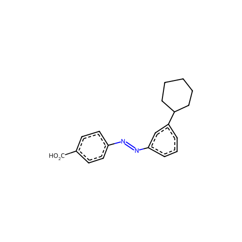 O=C(O)c1ccc(/N=N/c2cccc(C3CCCCC3)c2)cc1